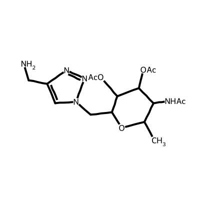 CC(=O)NC1C(C)OC(Cn2cc(CN)nn2)C(OC(C)=O)C1OC(C)=O